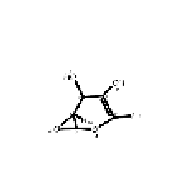 OC1=C(I)OC2O[C@@H]2C1O